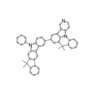 CC1(C)c2ccccc2-c2cc3c4cc(-c5cc6c7c(c5)c5cnccc5n7-c5ccccc5C6(C)C)ccc4n(-c4ccccc4)c3cc21